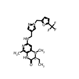 CC[C@H]1C(=O)Nc2c(cc(NCc3cnn(Cc4ccc(C(F)(F)F)o4)c3)nc2C)N1C